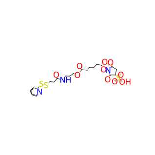 O=C(CCSSc1ccccn1)NCCCOC(=O)CCCCC(=O)ON1C(=O)CC(S(=O)(=O)O)C1=O